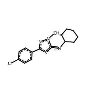 Cn1nc(-c2ccc(Cl)cc2)s/c1=N/C1CCCCC1